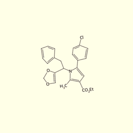 CCOC(=O)c1cc(-c2ccc(Cl)cc2)n(C(Cc2ccccc2)C2=COCO2)c1C